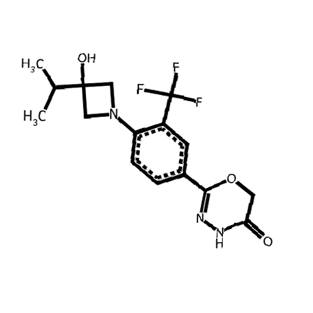 CC(C)C1(O)CN(c2ccc(C3=NNC(=O)CO3)cc2C(F)(F)F)C1